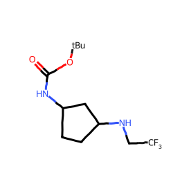 CC(C)(C)OC(=O)NC1CCC(NCC(F)(F)F)C1